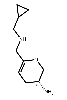 N[C@@H]1CC=C(CNCC2CC2)OC1